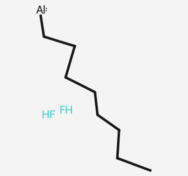 CCCCCCC[CH2][Al].F.F